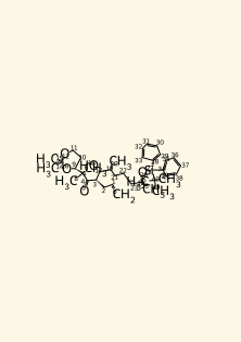 C=CC[C@@H](C(=O)C(C)(C)[C@@H]1CCOC(C)(C)O1)[C@@H](O)[C@@H](C)CCCC(C)O[Si](c1ccccc1)(c1ccccc1)C(C)(C)C